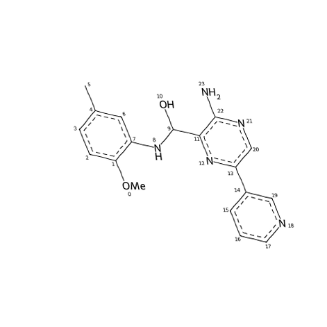 COc1ccc(C)cc1NC(O)c1nc(-c2cccnc2)cnc1N